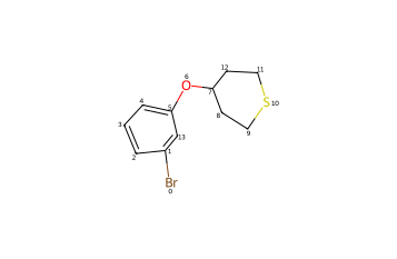 Brc1cccc(OC2CCSCC2)c1